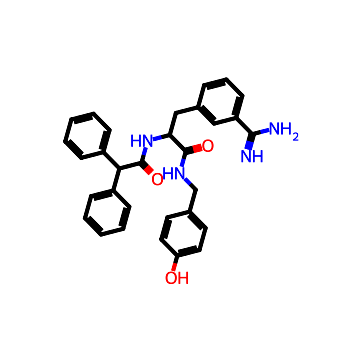 N=C(N)c1cccc(CC(NC(=O)C(c2ccccc2)c2ccccc2)C(=O)NCc2ccc(O)cc2)c1